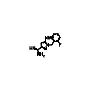 CNc1cc(C(=N)N)nn1Cc1ccccc1F